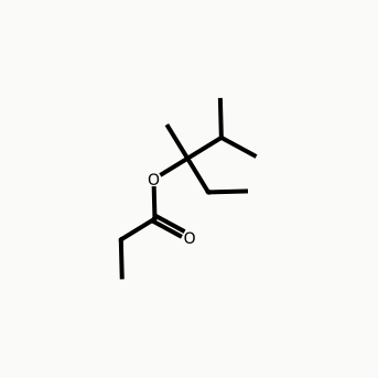 CCC(=O)OC(C)(CC)C(C)C